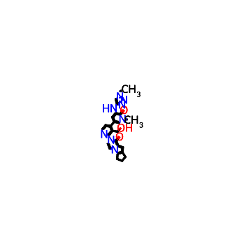 CCn1cc(Nc2cc(-c3ccnc(-n4ccn5c6c(cc5c4=O)CCC6)c3CO)cn(C)c2=O)nn1